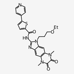 CCOCCCn1c(NC(=O)c2ccc(-c3ccncc3)s2)nc2cc3c(cc21)n(C)c(=O)c(=O)n3C